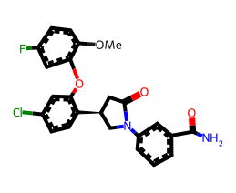 COc1ccc(F)cc1Oc1cc(Cl)ccc1[C@H]1CC(=O)N(c2cccc(C(N)=O)c2)C1